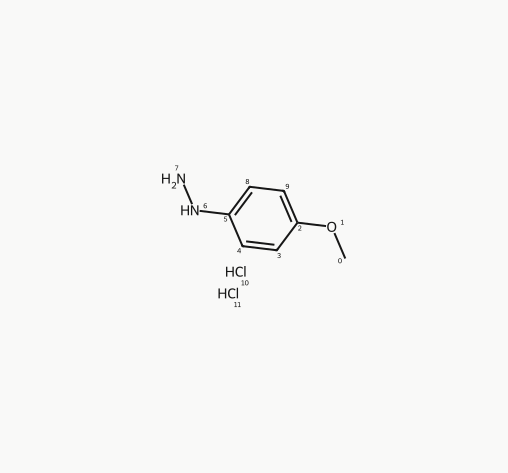 COc1ccc(NN)cc1.Cl.Cl